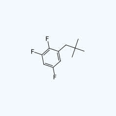 CC(C)(C)Cc1cc(F)cc(F)c1F